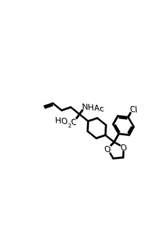 C=CCCC(NC(C)=O)(C(=O)O)C1CCC(C2(c3ccc(Cl)cc3)OCCO2)CC1